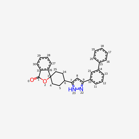 O=C1OC2(CCC(c3cc(-c4cccc(-c5ccccc5)c4)n[nH]3)CC2)c2ccccc21